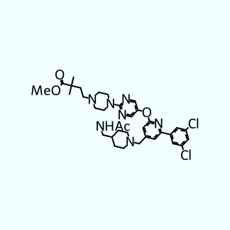 COC(=O)C(C)(C)CCN1CCN(c2ncc(Oc3cc(CN4CCC(CNC(C)=O)CC4)cc(-c4cc(Cl)cc(Cl)c4)n3)cn2)CC1